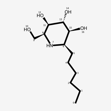 CCCCCC[C@H]1N[C@@H](CO)[C@@H](O)[C@H](O)[C@H]1O